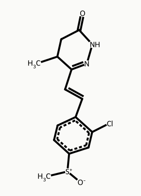 CC1CC(=O)NN=C1C=Cc1ccc([S+](C)[O-])cc1Cl